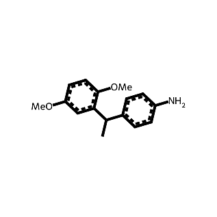 COc1ccc(OC)c(C(C)c2ccc(N)cc2)c1